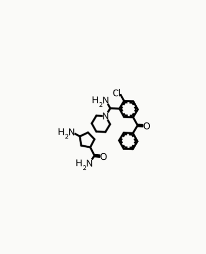 NC(=O)C1CCC(N)C1.NC(c1cc(C(=O)c2ccccc2)ccc1Cl)N1CCCCC1